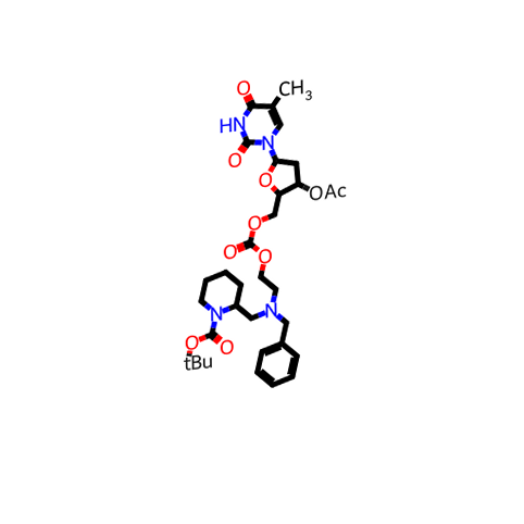 CC(=O)OC1CC(n2cc(C)c(=O)[nH]c2=O)OC1COC(=O)OCCN(Cc1ccccc1)CC1CCCCN1C(=O)OC(C)(C)C